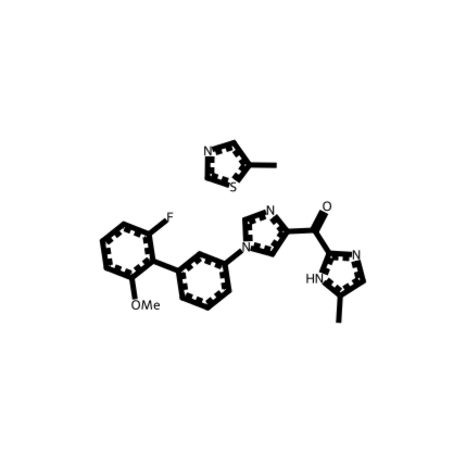 COc1cccc(F)c1-c1cccc(-n2cnc(C(=O)c3ncc(C)[nH]3)c2)c1.Cc1cncs1